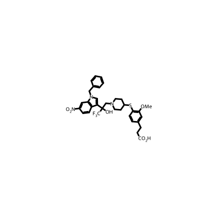 COc1cc(CCC(=O)O)ccc1SC1CCN(CC(O)(c2cn(Cc3ccccc3)c3cc([N+](=O)[O-])ccc23)C(F)(F)F)CC1